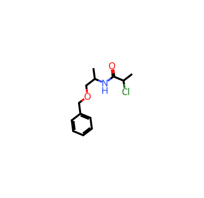 CC(COCc1ccccc1)NC(=O)C(C)Cl